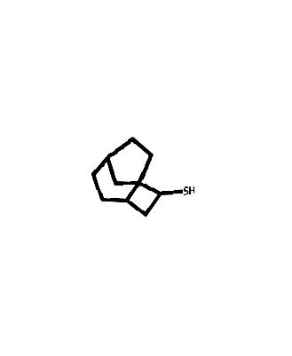 SC1CC2CCC3CCC12C3